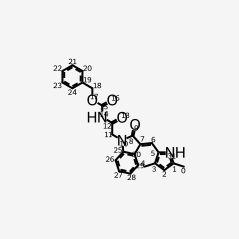 Cc1cc(C)c(C=C2C(=O)N(CC(=O)NC(=O)OCc3ccccc3)c3ccccc32)[nH]1